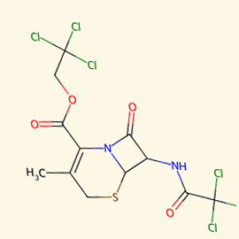 CC1=C(C(=O)OCC(Cl)(Cl)Cl)N2C(=O)C(NC(=O)C(Cl)(Cl)Cl)C2SC1